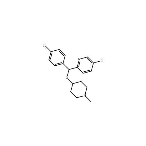 CN1CCC(OC(c2ccc(Cl)cc2)c2ccc(Cl)cn2)CC1